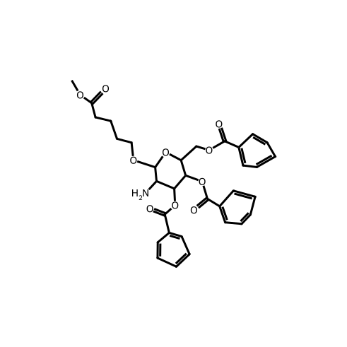 COC(=O)CCCCOC1OC(COC(=O)c2ccccc2)C(OC(=O)c2ccccc2)C(OC(=O)c2ccccc2)C1N